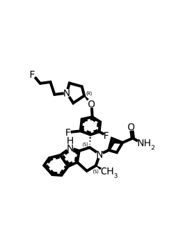 C[C@H]1Cc2c([nH]c3ccccc23)[C@H](c2c(F)cc(O[C@@H]3CCN(CCCF)C3)cc2F)N1C12CC(C(N)=O)(C1)C2